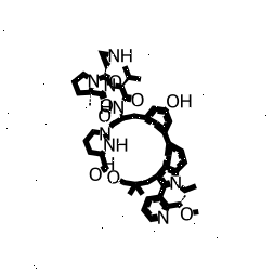 CCn1c(-c2cccnc2[C@H](C)OC)c2c3cc(ccc31)-c1cc(O)cc(c1)C[C@H](NC(=O)[C@H](C(C)C)N(C)C(=O)[C@@]1(C)CCCN1C(=O)[C@@H]1CN1)C(=O)N1CCC[C@H](N1)C(=O)OCC(C)(C)C2